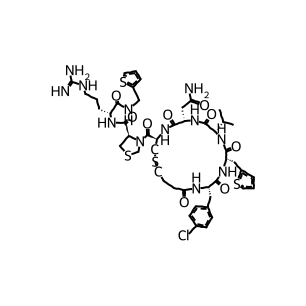 CC(C)[C@@H]1NC(=O)[C@H](Cc2cccs2)NC(=O)[C@H](Cc2ccc(Cl)cc2)NC(=O)CCCSC[C@@H](C(=O)N2CSC[C@H]2C(=O)N[C@H](CCCNC(=N)N)C(=O)NCc2cccs2)NC(=O)[C@H](CC(N)=O)NC1=O